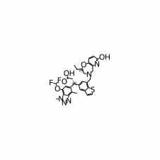 CC[C@@H]1CN(Cc2cc([C@@H](CC(=O)O)c3cc(OC(F)F)c4c(nnn4C)c3C)cc3ccsc23)Cc2nc(O)ccc2O1